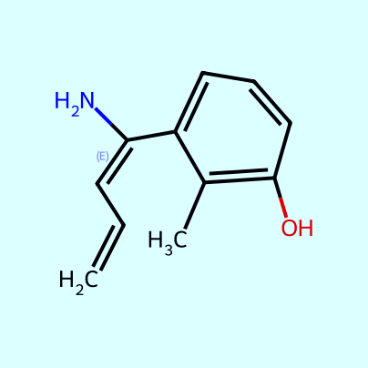 C=C/C=C(/N)c1cccc(O)c1C